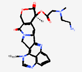 CCCCCN1C=Nc2cccc3nc4c(c1c23)Cn1c-4cc2c(c1=O)COC(=O)[C@@]2(CC)OC(=O)CN(C)CCN